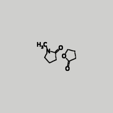 CN1CCCC1=O.O=C1CCCO1